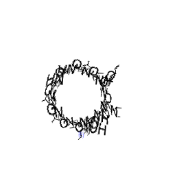 C=CCOC(C)(C)C[C@H]1C(=O)N[C@@H](C(C)C)C(=O)N(C)[C@@H](CC(C)C)C(=O)N[C@@H](C)C(=O)N[C@H](C)C(=O)N(C)[C@@H](CC(C)C)C(=O)N(C)[C@@H](CC(C)C)C(=O)N(C)[C@@H](C(C)C)C(=O)N(C)[C@@H]([C@H](O)[C@H](C)C/C=C/C)C(=O)N[C@@H](CC)C(=O)N(C)[C@H](CCN(CC)CC)C(=O)N1C